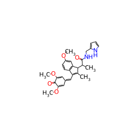 COC1=CC(=CC2=C(C)C(C(C)C(=O)NCc3ccc[nH]3)c3cc(OC)ccc32)C=C(OC)C1=O